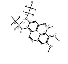 COc1cc(/C=C\c2cc(Br)cc(O[Si](C)(C)C(C)(C)C)c2O[Si](C)(C)C(C)(C)C)cc(OC)c1OC